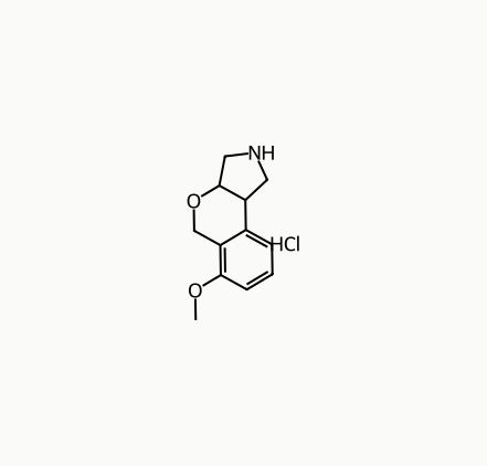 COc1cccc2c1COC1CNCC21.Cl